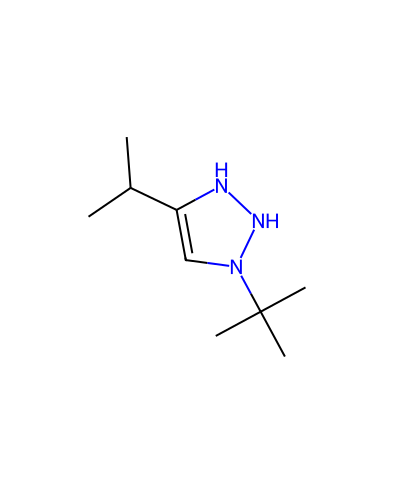 CC(C)C1=CN(C(C)(C)C)NN1